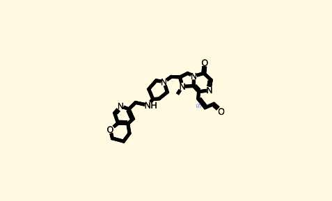 CN1c2c(/C=C\C=O)ncc(=O)n2CC1CN1CCC(NCc2cc3c(cn2)OCCC3)CC1